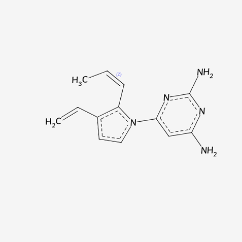 C=Cc1ccn(-c2cc(N)nc(N)n2)c1/C=C\C